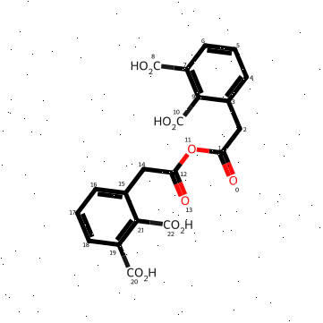 O=C(Cc1cccc(C(=O)O)c1C(=O)O)OC(=O)Cc1cccc(C(=O)O)c1C(=O)O